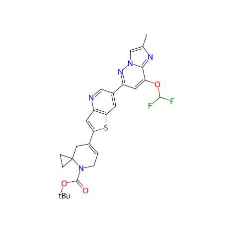 Cc1cn2nc(-c3cnc4cc(C5=CCN(C(=O)OC(C)(C)C)C6(CC6)C5)sc4c3)cc(OC(F)F)c2n1